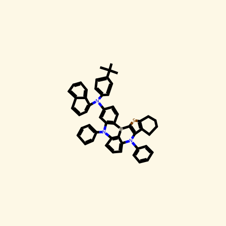 CC(C)(C)c1ccc(N(c2ccc3c(c2)N(c2ccccc2)c2cccc4c2B3c2sc3c(c2N4c2ccccc2)CCCC3)c2cccc3ccccc23)cc1